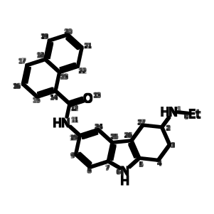 CCNC1CCc2[nH]c3ccc(NC(=O)c4cccc5ccccc45)cc3c2C1